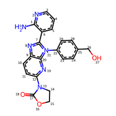 Nc1ncccc1-c1nc2ccc(N3CCOC3=O)nc2n1-c1ccc(CO)cc1